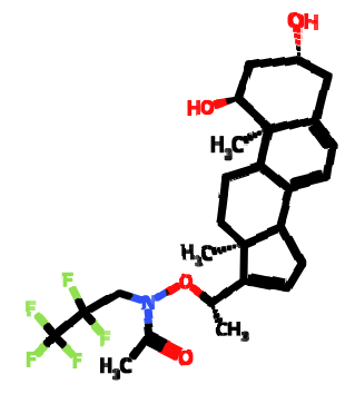 CC(=O)N(CC(F)(F)C(F)(F)F)O[C@@H](C)C1=CCC2C3=CC=C4C[C@@H](O)C[C@H](O)[C@]4(C)C3CC[C@]12C